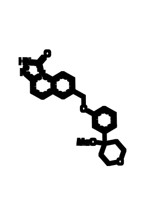 COC1(c2cccc(OCc3ccc4c(ccc5n[nH]c(=O)n54)c3)c2)CCOCC1